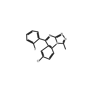 Cc1nnc2nc(-c3ccccc3F)c3cc(Cl)ccc3n12